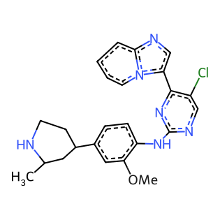 COc1cc(C2CCNC(C)C2)ccc1Nc1ncc(Cl)c(-c2cnc3ccccn23)n1